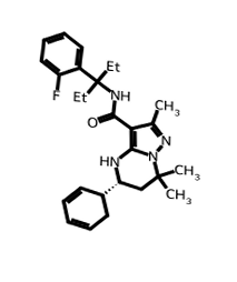 CCC(CC)(NC(=O)c1c(C)nn2c1N[C@@H](C1C=CC=CC1)CC2(C)C)c1ccccc1F